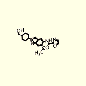 COc1cc2nn([C@H]3CC[C@H](CO)CC3)cc2cc1NC(=O)c1ncco1